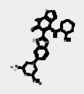 CC1CN(c2ccc3nc(-c4c(NC5CCCCC5O)c5ccsc5[nH]c4=O)[nH]c3c2)CC(C)O1